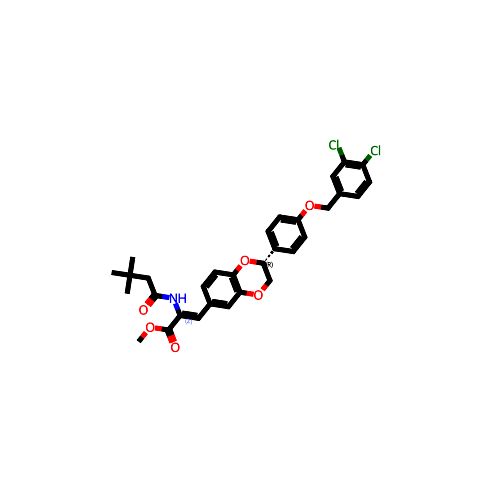 COC(=O)/C(=C/c1ccc2c(c1)OC[C@@H](c1ccc(OCc3ccc(Cl)c(Cl)c3)cc1)O2)NC(=O)CC(C)(C)C